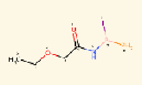 CCOCC(=O)NB(P)I